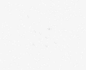 CN(C)C(=O)C1CCCN1c1nc2c(c(Nc3cc(-c4cccnc4)[nH]n3)n1)CCC2